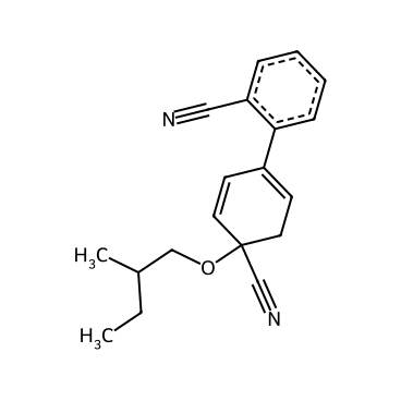 CCC(C)COC1(C#N)C=CC(c2ccccc2C#N)=CC1